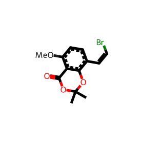 COc1ccc(/C=C\Br)c2c1C(=O)OC(C)(C)O2